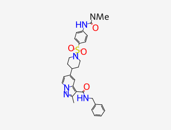 CNC(=O)Nc1ccc(S(=O)(=O)N2CCC(c3ccn4nc(C)c(C(=O)NCc5ccccc5)c4c3)CC2)cc1